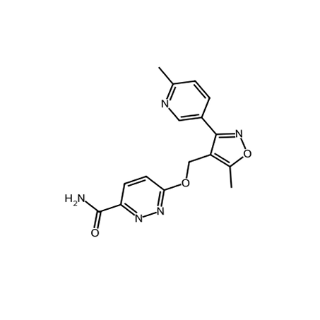 Cc1ccc(-c2noc(C)c2COc2ccc(C(N)=O)nn2)cn1